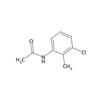 CC(=O)Nc1cccc(Cl)c1C